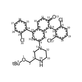 CC(C)(C)OCC1CN(c2cc3c(ccc(=O)n3-c3c(Cl)cccc3Cl)c(-c3ccccc3Cl)n2)CCN1